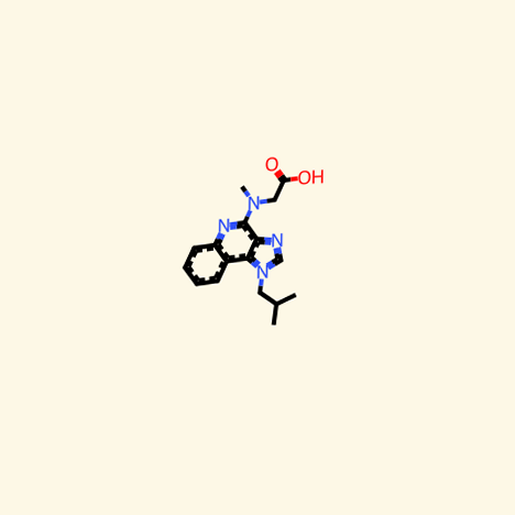 CC(C)Cn1cnc2c(N(C)CC(=O)O)nc3ccccc3c21